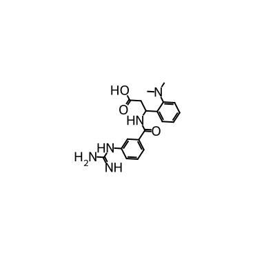 CN(C)c1ccccc1C(CC(=O)O)NC(=O)c1cccc(NC(=N)N)c1